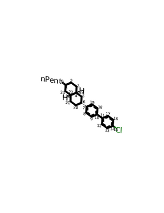 CCCCCC1CC[C@@H]2C[C@H](c3ccc(-c4ccc(Cl)cc4)cc3)CC[C@@H]2C1